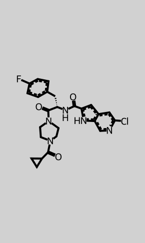 O=C(N[C@@H](Cc1ccc(F)cc1)C(=O)N1CCN(C(=O)C2CC2)CC1)c1cc2cc(Cl)ncc2[nH]1